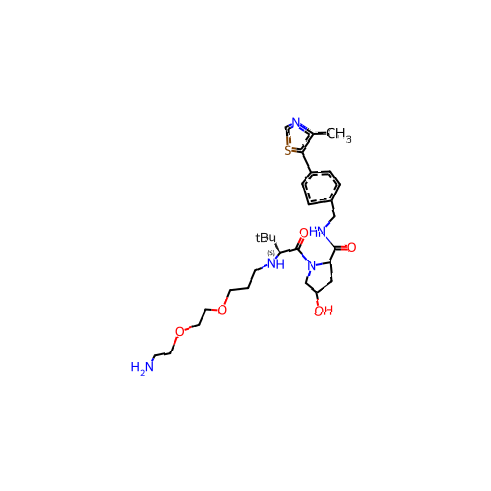 Cc1ncsc1-c1ccc(CNC(=O)C2CC(O)CN2C(=O)[C@@H](NCCCOCCOCCN)C(C)(C)C)cc1